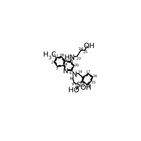 Cc1ccc2nc(N3CCS(O)(O)c4ccccc4C3)cc(NCCCO)c2c1